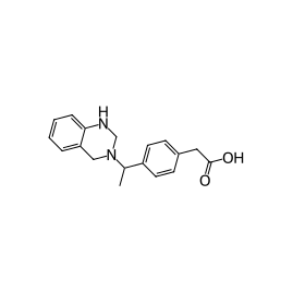 CC(c1ccc(CC(=O)O)cc1)N1CNc2ccccc2C1